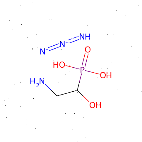 NCC(O)P(=O)(O)O.[N-]=[N+]=N